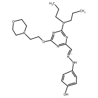 CCCN(CCC)c1nc(/C=N/Nc2ccc(O)cc2)nc(OCCN2CCOCC2)n1